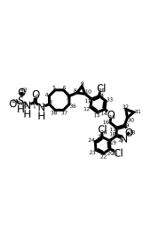 O=C(NC1CCCC(C2CC2c2ccc(OCc3c(-c4c(Cl)cccc4Cl)noc3C3CC3)cc2Cl)CCC1)N[SH](=O)=O